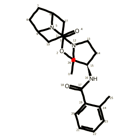 CCOC(=O)N1C2CCC1CC(N1CC[C@@H](NC(=O)c3ccccc3C)C1)C2